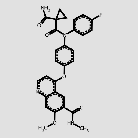 CNC(=O)c1cc2c(Oc3ccc(N(C(=O)C4(C(N)=O)CC4)c4ccc(F)cc4)cc3)ccnc2cc1OC